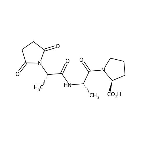 C[C@H](NC(=O)[C@H](C)N1C(=O)CCC1=O)C(=O)N1CCC[C@H]1C(=O)O